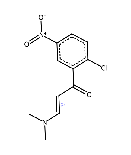 CN(C)/C=C/C(=O)c1cc([N+](=O)[O-])ccc1Cl